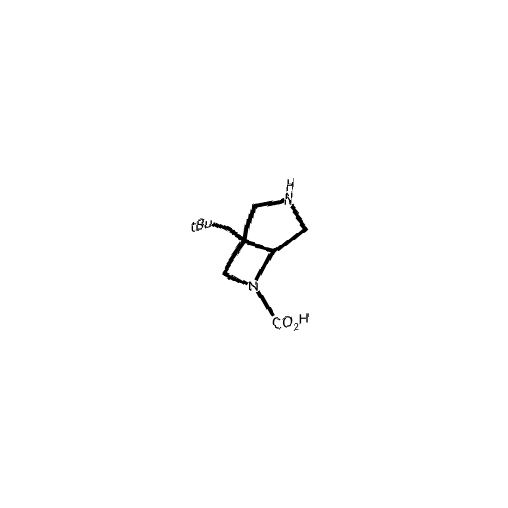 CC(C)(C)C12CNCC1N(C(=O)O)C2